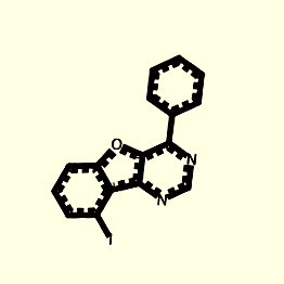 Ic1cccc2oc3c(-c4ccccc4)ncnc3c12